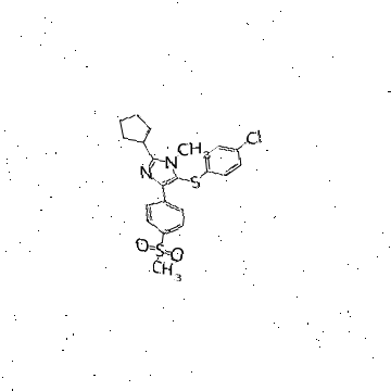 Cn1c(C2CCCC2)nc(-c2ccc(S(C)(=O)=O)cc2)c1Sc1ccc(Cl)cc1